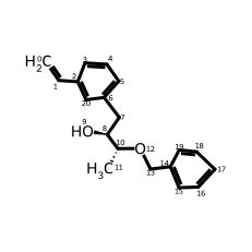 C=Cc1cccc(C[C@H](O)[C@@H](C)OCc2ccccc2)c1